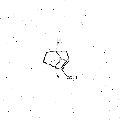 CN1[C@@H]2CC=C(C(=O)O)[C@@]1(C)CC2